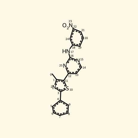 Cc1nc(-c2ccccc2)sc1-c1ccnc(Nc2cccc([N+](=O)[O-])c2)n1